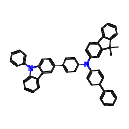 CC1(C)c2ccccc2-c2ccc(N(C3=CCC(c4ccccc4)C=C3)C3C=CC(c4ccc5c(c4)c4ccccc4n5-c4ccccc4)=CC3)cc21